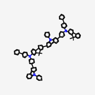 CC1(C)c2ccccc2-c2ccc(N(c3ccc(-c4ccccc4)cc3)c3ccc(-c4ccc5c6ccc(-c7ccc8c(c7)C(C)(C)c7cc(N(c9ccc(-c%10ccccc%10)cc9)c9ccc(-c%10ccc%11c(c%10)c%10ccccc%10n%11-c%10ccccc%10)cc9)ccc7-8)cc6n(-c6ccccc6)c5c4)cc3)cc21